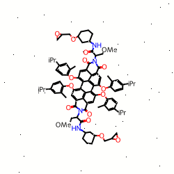 COCC(C(=O)NC1CCCC(OCC2CO2)C1)N1C(=O)c2cc(Oc3ccc(C(C)C)cc3C)c3c4c(Oc5ccc(C(C)C)cc5C)cc5c6c(cc(Oc7ccc(C(C)C)cc7C)c(c7c(Oc8ccc(C(C)C)cc8C)cc(c2c37)C1=O)c64)C(=O)N(C(COC)C(=O)NC1CCCC(OCC2CO2)C1)C5=O